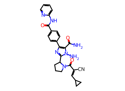 N#CC(=CC1CC1)C(=O)N1CCCC1c1nc(-c2ccc(C(=O)Nc3ccccn3)cc2)c(C(N)=O)n1N